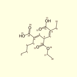 CCCCC(=CC(C=C(CC)C(=O)O)C(=O)OCC)C(=O)O